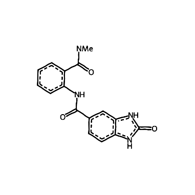 CNC(=O)c1ccccc1NC(=O)c1ccc2[nH]c(=O)[nH]c2c1